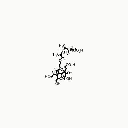 C=C(C)C(=O)O.C=C(C)C(=O)O.C=C(C)C(=O)OCCOC(=O)C(=C(C(O)CO)C(O)CO)C(O)C(O)(CCC(=O)O)C(O)CO